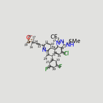 CSNc1nn(CC(F)(F)F)c2c(-c3ccc(C#CC(C)(C)[S+](C)[O-])nc3C(C)Cc3cc(F)cc(F)c3)ccc(Cl)c12